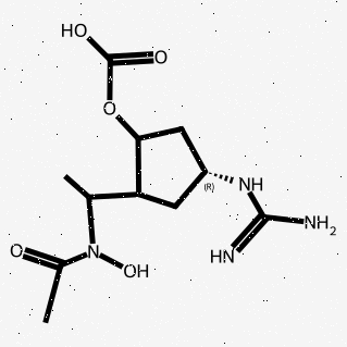 CC(=O)N(O)C(C)C1C[C@@H](NC(=N)N)CC1OC(=O)O